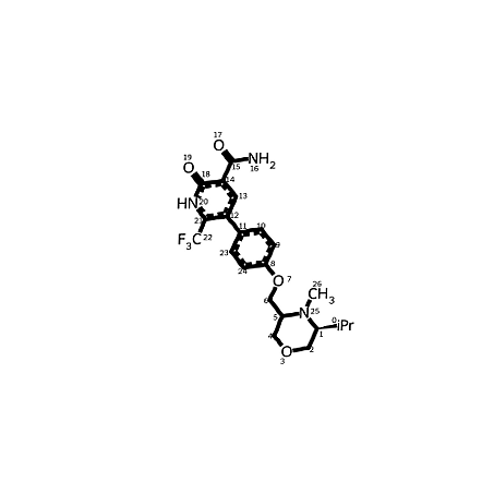 CC(C)[C@H]1COCC(COc2ccc(-c3cc(C(N)=O)c(=O)[nH]c3C(F)(F)F)cc2)N1C